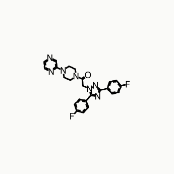 O=C(Cn1nc(-c2ccc(F)cc2)nc1-c1ccc(F)cc1)N1CCN(c2cnccn2)CC1